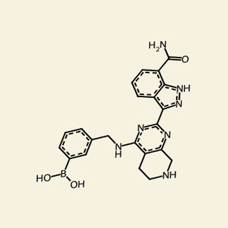 NC(=O)c1cccc2c(-c3nc4c(c(NCc5cccc(B(O)O)c5)n3)CCNC4)n[nH]c12